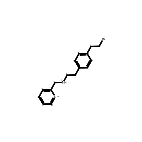 BrCCc1ccc(CCNCc2ccccn2)cc1